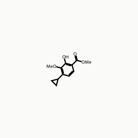 COC(=O)c1ccc(C2CC2)c(OC)c1O